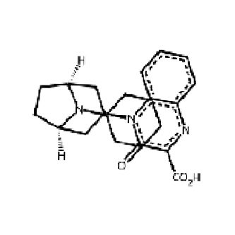 O=C(O)c1nc2ccccc2n([C@H]2C[C@H]3CC[C@@H](C2)N3C2CCCCC2)c1=O